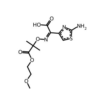 COCCOC(=O)C(C)(C)ON=C(C(=O)O)c1csc(N)n1